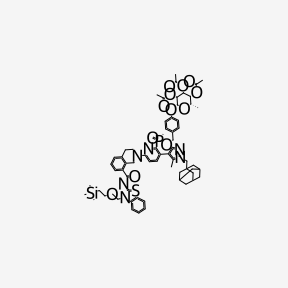 CC(=O)O[C@H]1[C@H](OC(C)=O)[C@H](Oc2ccc(COP(C)(=O)c3nc(N4CCc5cccc(C(=O)/N=c6\sc7ccccc7n6COCC[Si](C)(C)C)c5C4)ccc3-c3cnn(CC45CC6CC(CC(C6)C4)C5)c3C)cc2)O[C@@H](C)[C@H]1OC(C)=O